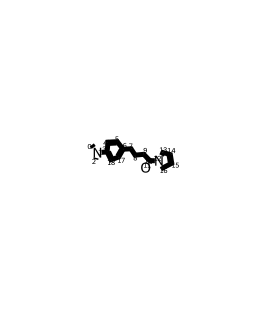 CN(C)c1ccc(CCCC(=O)N2CC=CC2)cc1